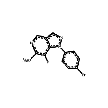 COc1ncc2cnn(-c3ccc(Br)cc3)c2c1F